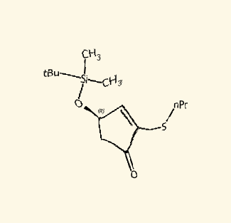 [CH2]CCSC1=C[C@H](O[Si](C)(C)C(C)(C)C)CC1=O